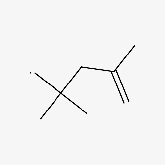 [CH2]C(C)(C)CC(=C)C